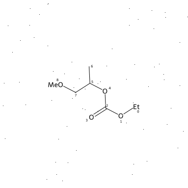 CCOC(=O)OC(C)COC